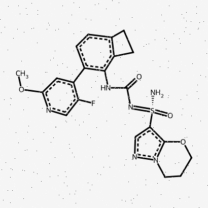 COc1cc(-c2ccc3c(c2NC(=O)N=[S@@](N)(=O)c2cnn4c2OCCC4)CC3)c(F)cn1